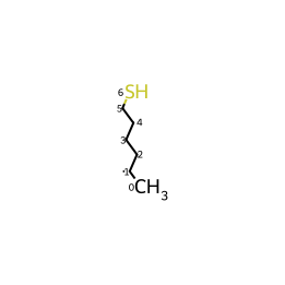 C[CH]CCCCS